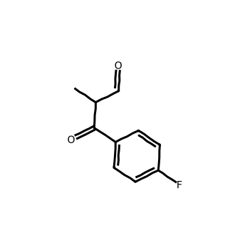 CC(C=O)C(=O)c1ccc(F)cc1